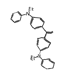 C=C(c1ccc(N(CC)C2=CCCC=C2)cc1)c1ccc(N(CC)c2ccccc2)cc1